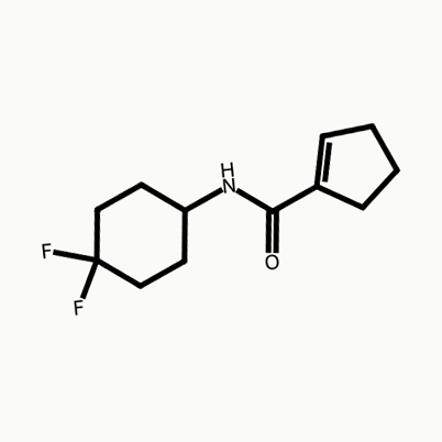 O=C(NC1CCC(F)(F)CC1)C1=CCCC1